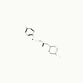 Cc1ccc(S(=O)(=O)OCC(=O)CC2CCC(C)CC2)cc1